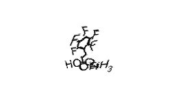 OC(O)(CCc1c(F)c(F)c(F)c(F)c1F)O[SiH3]